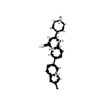 Cc1cc2ccc(-c3ccc4nc(C5CCNCC5)cc(=O)n4c3)cn2c1